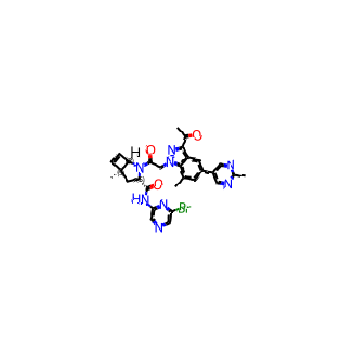 CC(=O)c1nn(CC(=O)N2[C@H](C(=O)Nc3cncc(Br)n3)C[C@@]3(C)C=C[C@@H]23)c2c(C)cc(-c3cnc(C)nc3)cc12